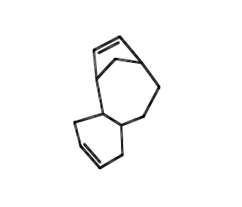 C1=CCC2C3C=CC(CCC2C1)C3